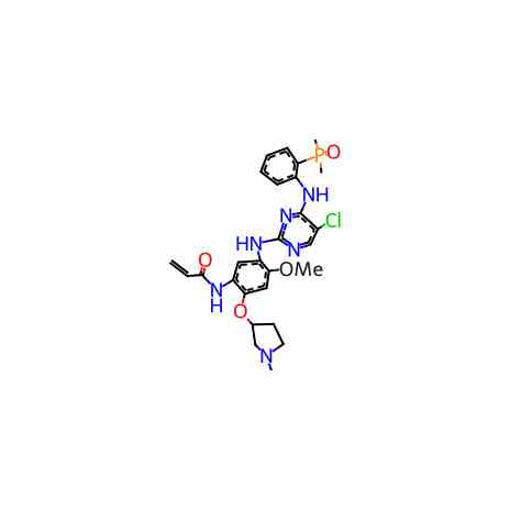 C=CC(=O)Nc1cc(Nc2ncc(Cl)c(Nc3ccccc3P(C)(C)=O)n2)c(OC)cc1OC1CCN(C)C1